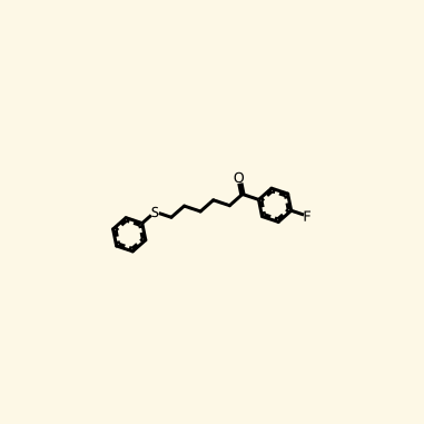 O=C(CCCCCSc1ccccc1)c1ccc(F)cc1